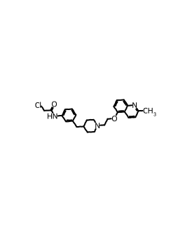 Cc1ccc2c(OCCN3CCC(Cc4cccc(NC(=O)CCl)c4)CC3)cccc2n1